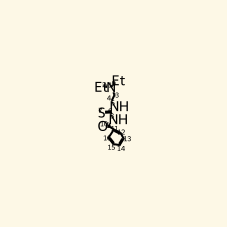 CCN(CC)CCNC(=S)NC(=O)c1ccccc1